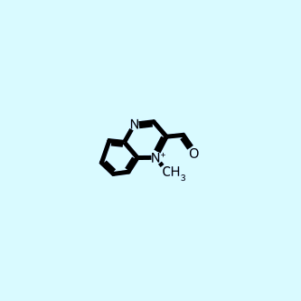 C[n+]1c(C=O)cnc2ccccc21